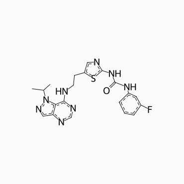 CC(C)n1ncc2ncnc(NCCc3cnc(NC(=O)Nc4cccc(F)c4)s3)c21